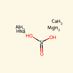 O=[Si](O)O.[AlH3].[CaH2].[MgH2].[NaH]